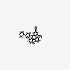 N#Cc1cc(C#N)cc(-n2c3ccc(-c4ccccc4)nc3c3ccc4sc5ccccc5c4c32)c1